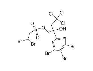 O=S(=O)(CC(Br)Br)OCC(O)(CC(Cl)(Cl)Cl)c1cc(Br)c(Br)c(Br)c1